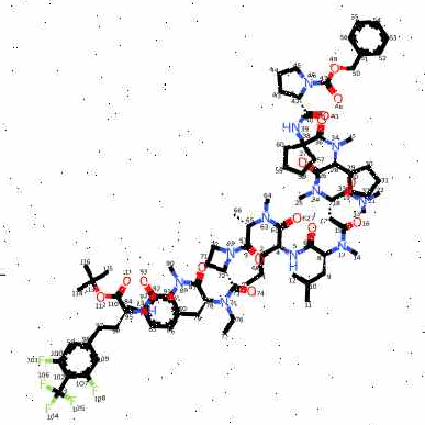 CC[C@H](C)[C@H](NC(=O)[C@H](CC(C)C)N(C)C(=O)C[C@@H](C(=O)N(C)C)N(C)C(=O)[C@H](C1CCCC1)N(C)C(=O)C1(NC(=O)[C@@H]2CCCN2C(=O)OCc2ccccc2)CCCC1)C(=O)N(C)[C@@H](C)C(=O)N1CC[C@H]1C(=O)N(CC)[C@@H](Cc1ccc(C)cc1)C(=O)N(C)CC(=O)N[C@@H](CCc1cc(F)c(C(F)(F)F)c(F)c1)C(=O)OC(C)(C)C